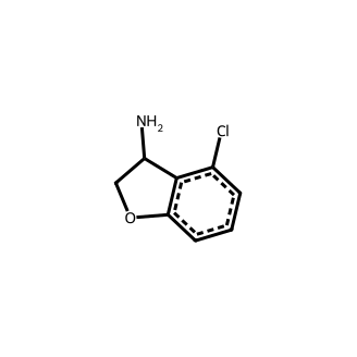 NC1COc2cccc(Cl)c21